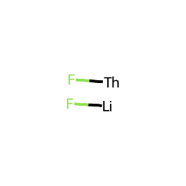 [F][Th].[Li][F]